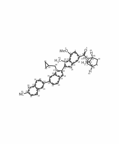 COc1cc(C(=O)N2C[C@H]3CC[C@@H]2[C@@H]3N)cc2nc(-c3cc4ccc(-c5ccc6nc(C#N)ccc6c5)cc4n3CC3CC3)n(C)c12